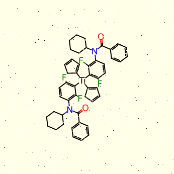 O=C(c1ccccc1)N(c1ccc(F)[c]([Ti]([C]2=CC=CC2)([C]2=CC=CC2)[c]2c(F)ccc(N(C(=O)c3ccccc3)C3CCCCC3)c2F)c1F)C1CCCCC1